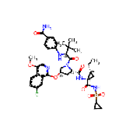 CC[C@@H]1C[C@]1(NC(=O)[C@@H]1C[C@@H](Oc2ncc(OC)c3ccc(Cl)cc23)CN1C(=O)[C@@H](Nc1ccc(C(N)=O)cc1)C(C)(C)C)C(=O)NS(=O)(=O)C1CC1